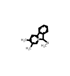 C=NC1c2ccccc2-c2cc(C)c(C)c[n+]21